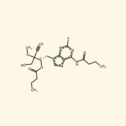 C#CC(CO)(OC)[C@H](Cn1cnc2c(NC(=O)CCC)nc(F)nc21)OC(=O)CCC